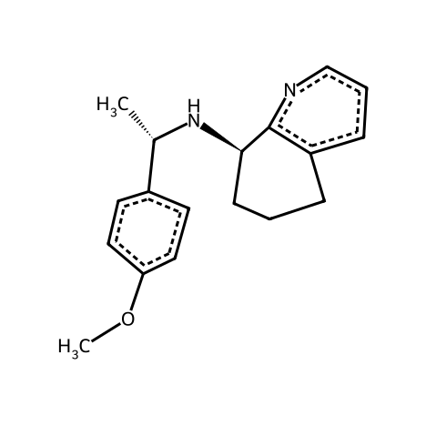 COc1ccc([C@H](C)N[C@@H]2CCCc3cccnc32)cc1